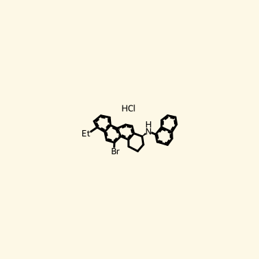 CCc1cccc2c1cc(Br)c1c3c(ccc12)[C@@H](Nc1cccc2ccccc12)CCC3.Cl